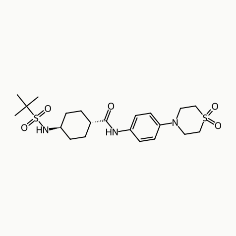 CC(C)(C)S(=O)(=O)N[C@H]1CC[C@H](C(=O)Nc2ccc(N3CCS(=O)(=O)CC3)cc2)CC1